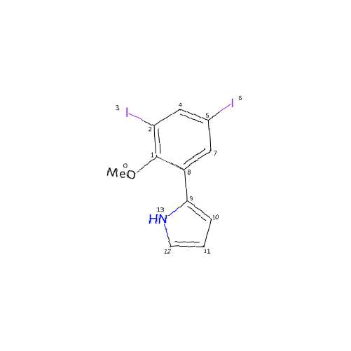 COc1c(I)cc(I)cc1-c1ccc[nH]1